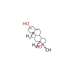 C#C[C@]1(O)CCC2C3CC=C4C[C@@H](O)CC[C@]4(C)C3CC[C@@]21C